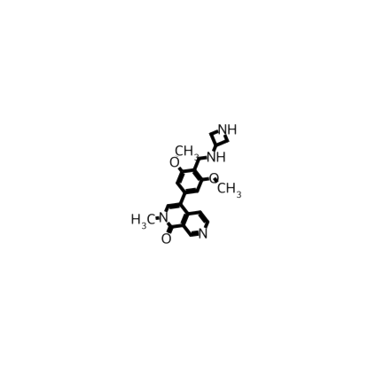 COc1cc(-c2cn(C)c(=O)c3cnccc23)cc(OC)c1CNC1CNC1